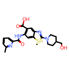 Cc1cccc(C(=O)Nc2cc3c(cc2C(=O)O)N=C(N2CCC(CO)CC2)[SH]3C)n1